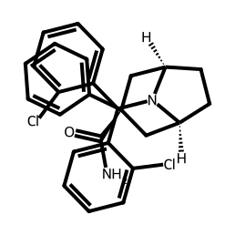 NC(=O)[C@@]1(c2ccccc2)C[C@H]2CC[C@@H](C1)N2C(c1ccccc1Cl)c1ccccc1Cl